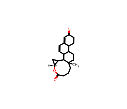 CC12CCCC(=O)O[C@@H]3CC3C1C1C=CC3=CC(=O)CCC3C1CC2